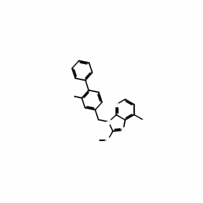 CCOc1nc2c(C)ccnc2n1Cc1ccc(-c2ccccc2)c(C(=O)O)c1